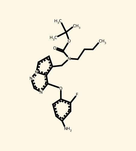 CCCCN(Cc1ccn2ncnc(Oc3ccc(N)cc3F)c12)C(=O)OC(C)(C)C